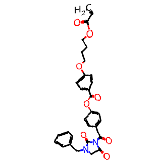 C=CC(=O)OCCCCOc1ccc(C(=O)Oc2ccc(C(=O)N3C(=O)CN(Cc4ccccc4)C3=O)cc2)cc1